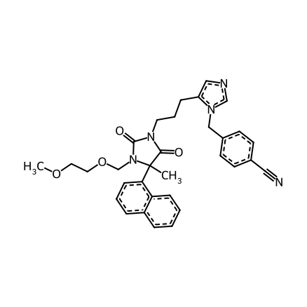 COCCOCN1C(=O)N(CCCc2cncn2Cc2ccc(C#N)cc2)C(=O)C1(C)c1cccc2ccccc12